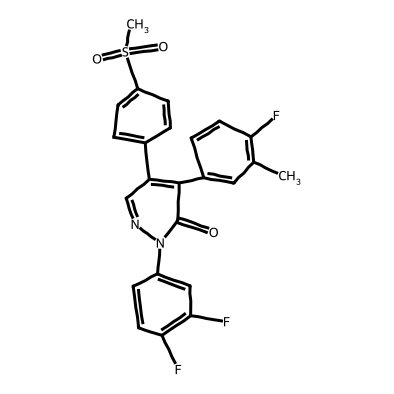 Cc1cc(-c2c(-c3ccc(S(C)(=O)=O)cc3)cnn(-c3ccc(F)c(F)c3)c2=O)ccc1F